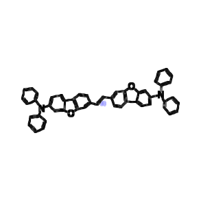 C(=C\c1ccc2c(c1)oc1cc(N(c3ccccc3)c3ccccc3)ccc12)/c1ccc2c(c1)oc1cc(N(c3ccccc3)c3ccccc3)ccc12